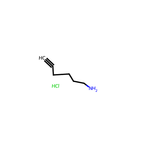 C#CCCCCN.Cl